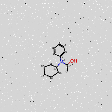 CC(O)N(c1ccccc1)C1CCCCC1